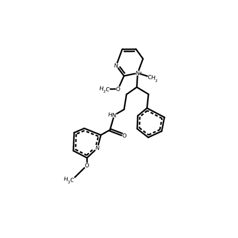 COC1=NC=CC[N+]1(C)C(CCNC(=O)c1cccc(OC)n1)Cc1ccccc1